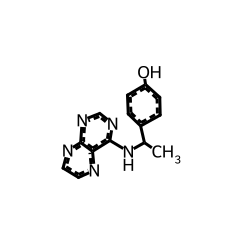 CC(Nc1ncnc2nccnc12)c1ccc(O)cc1